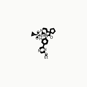 CCOc1cncc(-c2ccc(NC(=O)C3(c4ccnc(NS(=O)(=O)C5CC5)n4)CCCC3)cc2)n1